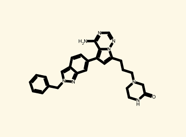 Nc1ncnn2c(CCCN3CCNC(=O)C3)cc(-c3ccc4cn(Cc5ccccc5)nc4c3)c12